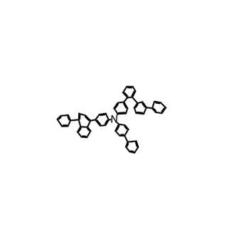 c1ccc(-c2ccc(N(c3ccc(-c4ccccc4-c4cccc(-c5ccccc5)c4)cc3)c3ccc(-c4ccc(-c5ccccc5)c5ccccc45)cc3)cc2)cc1